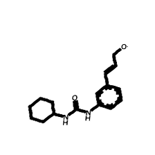 [O]CC=Cc1cccc(NC(=O)NC2CCCCC2)c1